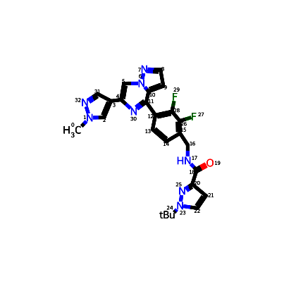 Cn1cc(-c2cn3nccc3c(-c3ccc(CNC(=O)c4ccn(C(C)(C)C)n4)c(F)c3F)n2)cn1